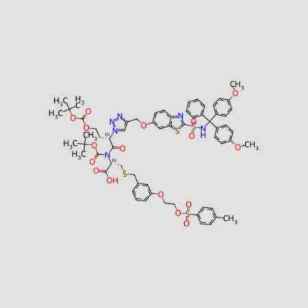 COc1ccc(C(NS(=O)(=O)c2nc3ccc(OCc4cn([C@@H](CCOC(=O)OC(C)(C)C)C(=O)N(C(=O)OC(C)(C)C)[C@H](CSCc5cccc(OCCOS(=O)(=O)c6ccc(C)cc6)c5)C(=O)O)nn4)cc3s2)(c2ccccc2)c2ccc(OC)cc2)cc1